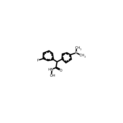 CN(C)c1ccc(C(C(=O)NO)c2cccc(F)c2)cc1